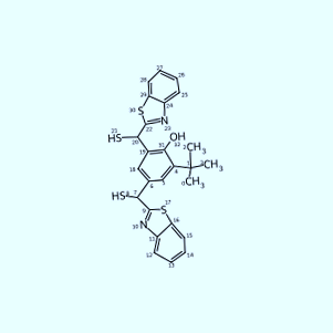 CC(C)(C)c1cc(C(S)c2nc3ccccc3s2)cc(C(S)c2nc3ccccc3s2)c1O